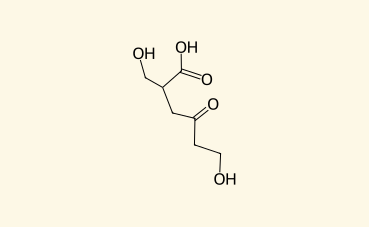 O=C(CCO)CC(CO)C(=O)O